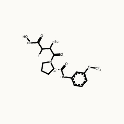 CCCCC(C(=O)N1CCC[C@H]1C(=O)Nc1cccc(OC(F)(F)F)c1)C(F)C(=O)NO